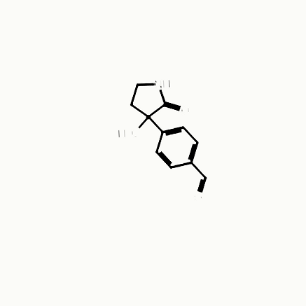 CC1(c2ccc(C=O)cc2)CCNC1=O